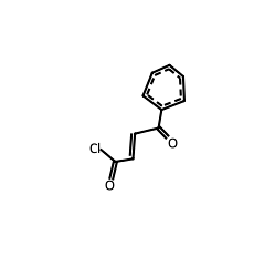 O=C(Cl)C=CC(=O)c1ccccc1